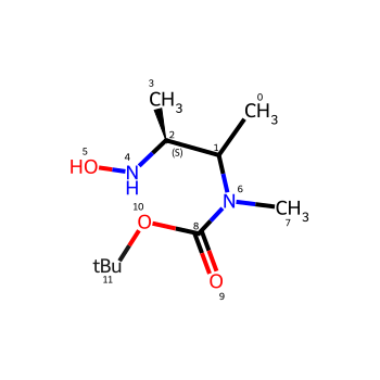 CC([C@H](C)NO)N(C)C(=O)OC(C)(C)C